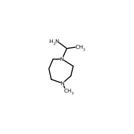 CC(N)N1CCCN(C)CC1